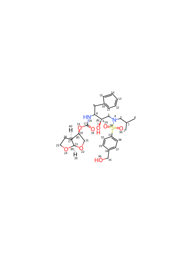 CC(C)CN(C[C@@H](O)C(Cc1ccccc1)NC(=O)O[C@H]1CO[C@H]2OCC[C@H]21)S(=O)(=O)c1ccc(CO)cc1